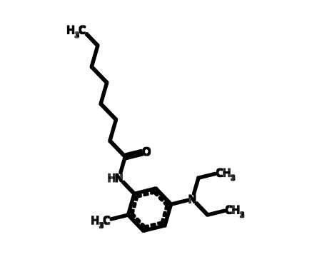 CCCCCCCC(=O)Nc1cc(N(CC)CC)ccc1C